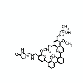 COc1nc(-c2cccc(-c3cccc(-c4ccc5c(OC)c(CNC[C@H](C)O)cc(Cl)c5n4)c3Cl)c2Cl)ccc1CNC[C@@H]1CCC(=O)N1